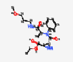 CCOC(=O)[C@@H]1N[C@H]1C(=O)N(c1ccccc1)[C@@H](C)C(=O)NCCCOC